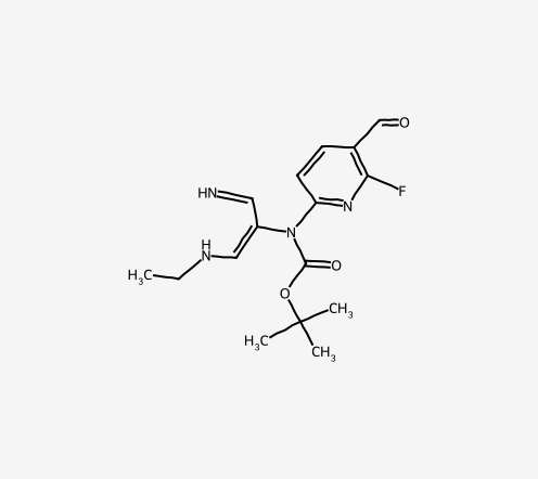 CCN/C=C(\C=N)N(C(=O)OC(C)(C)C)c1ccc(C=O)c(F)n1